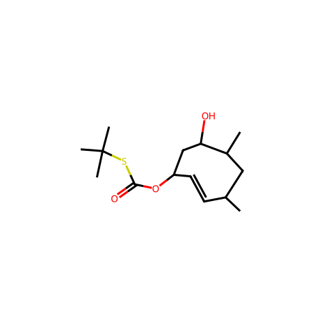 CC1/C=C/C(OC(=O)SC(C)(C)C)CC(O)C(C)C1